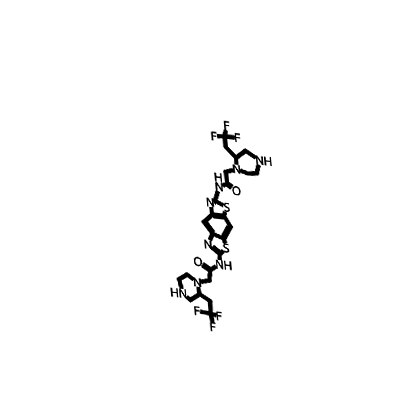 O=C(CN1CCNCC1CC(F)(F)F)Nc1nc2cc3nc(NC(=O)CN4CCNCC4CC(F)(F)F)sc3cc2s1